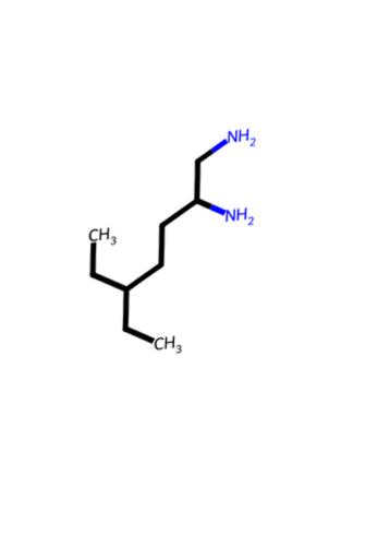 CCC(CC)CCC(N)CN